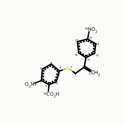 C=C(CSc1ccc([N+](=O)[O-])c(C(=O)O)c1)c1ccc([N+](=O)[O-])cc1